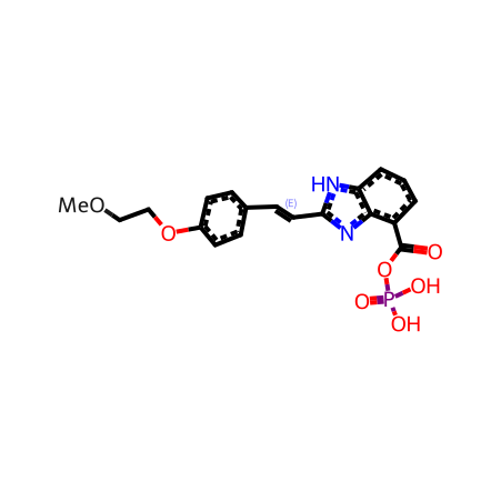 COCCOc1ccc(/C=C/c2nc3c(C(=O)OP(=O)(O)O)cccc3[nH]2)cc1